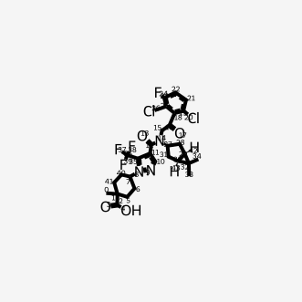 CC1(C(=O)O)CCC(n2ncc(C(=O)N(CC(=O)c3c(Cl)ccc(F)c3Cl)[C@H]3C[C@@H]4[C@H](C3)C4(C)C)c2C(F)(F)F)CC1